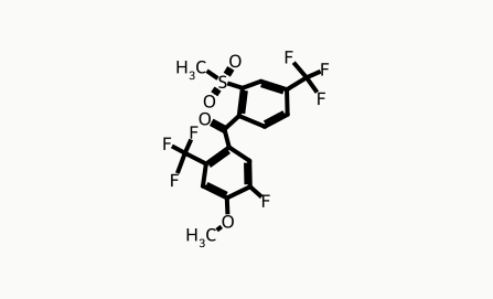 COc1cc(C(F)(F)F)c(C(=O)c2ccc(C(F)(F)F)cc2S(C)(=O)=O)cc1F